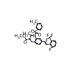 COC(=O)[C@@H]1Cc2ccc(/C=C/c3c(F)cccc3C(F)(F)F)cc2N(S(=O)(=O)c2cccc(C)c2)[C@@H]1C